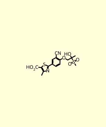 Cc1nc(-c2ccc(OCC(C)(O)S(C)(=O)=O)c(C#N)c2)sc1C(=O)O